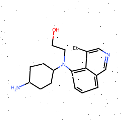 CCc1cncc2cccc(N(CCO)C3CCC(N)CC3)c12